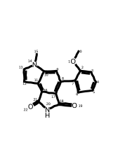 COc1ccccc1-c1cc2c(ccn2C)c2c1C(=O)NC2=O